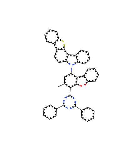 Cc1cc(-n2c3ccccc3c3c4sc5ccccc5c4ccc32)c2c(oc3ccccc32)c1-c1nc(-c2ccccc2)nc(-c2ccccc2)n1